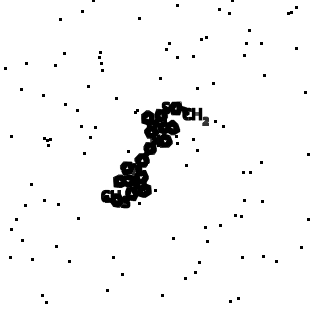 C=Cc1ccc(Sc2ccc(C3(c4ccc5ccccc5c4)c4ccccc4-c4ccc(N(c5ccccc5)c5ccc(-c6ccc(N(c7ccccc7)c7ccc8c(c7)C(c7ccc(Sc9ccc(C=C)cc9)cc7)(c7ccc9ccccc9c7)c7ccccc7-8)cc6)cc5)cc43)cc2)cc1